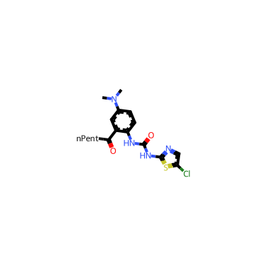 CCCCCC(=O)c1cc(N(C)C)ccc1NC(=O)Nc1ncc(Cl)s1